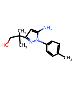 Cc1ccc(-n2nc(C(C)(C)CO)cc2N)cc1